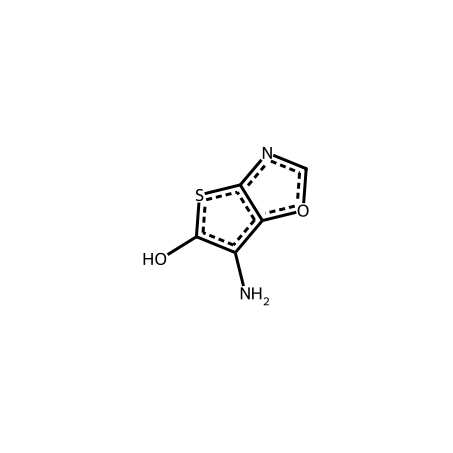 Nc1c(O)sc2ncoc12